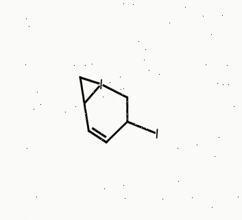 IC1C=CC2CI2C1